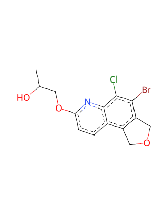 CC(O)COc1ccc2c3c(c(Br)c(Cl)c2n1)COC3